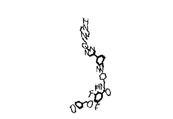 COc1ccc(COc2c(F)cc(C(=O)NCC3CCC(n4cc5ccc(-c6cnc(OCCN7CCNCC7)nc6)cc5n4)CC3)c(F)c2F)cc1